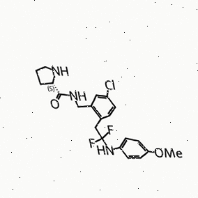 COc1ccc(NC(F)(F)Cc2ccc(Cl)cc2CNC(=O)[C@@H]2CCCN2)cc1